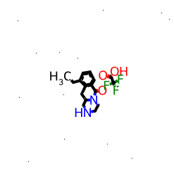 CCc1cccc2c1CC1CNCCN1C2=O.O=C(O)C(F)(F)F